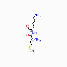 CSCC[C@H](N)C(=O)N[C@H]([C]=O)CCCCN